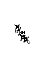 CC(C)(C)OC(=O)NCC1CC2(CC(=O)C2)C1